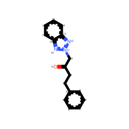 O=C(CCc1ccccc1)Cn1nc2ccccc2n1